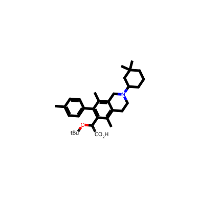 Cc1ccc(-c2c(C)c3c(c(C)c2C(OC(C)(C)C)C(=O)O)CCN(C2CCCC(C)(C)C2)C3)cc1